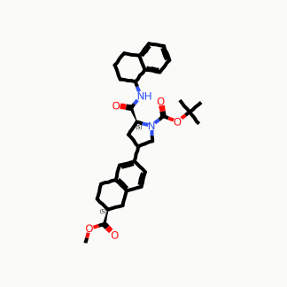 COC(=O)[C@H]1CCc2cc(C3C[C@@H](C(=O)NC4CCCc5ccccc54)N(C(=O)OC(C)(C)C)C3)ccc2C1